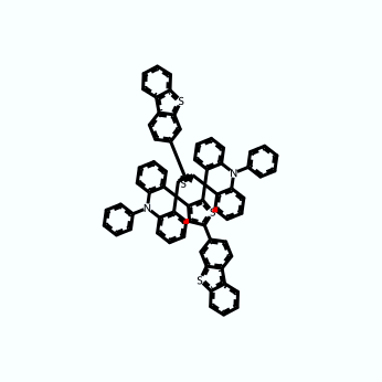 c1ccc(N2c3ccccc3C3(c4ccccc42)c2cc(-c4ccc5c(c4)sc4ccccc45)sc2C2(c4ccccc4N(c4ccccc4)c4ccccc42)c2cc(-c4ccc5c(c4)sc4ccccc45)sc23)cc1